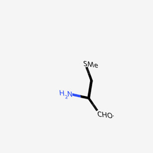 CSCC(N)[C]=O